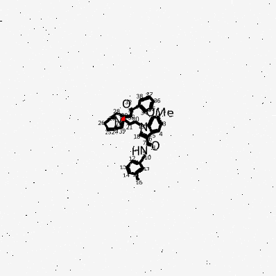 COc1cccc2c(C(=O)NCc3cccc(C)c3)cn(CCCN3C4CCC3CC(CC(=O)c3ccccc3)C4)c12